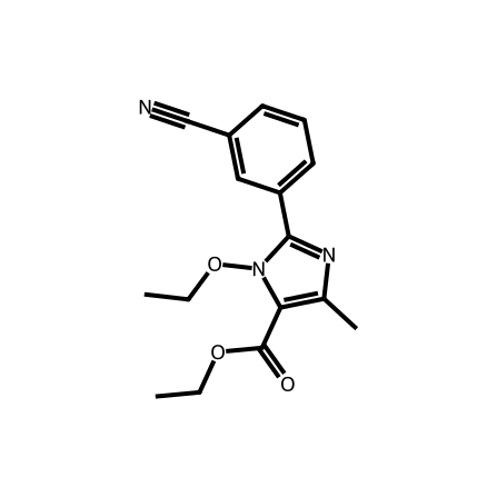 CCOC(=O)c1c(C)nc(-c2cccc(C#N)c2)n1OCC